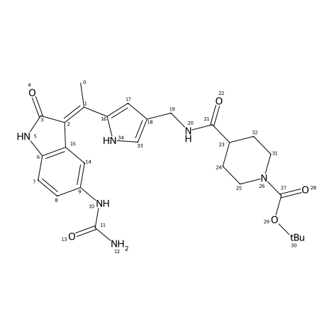 C/C(=C1\C(=O)Nc2ccc(NC(N)=O)cc21)c1cc(CNC(=O)C2CCN(C(=O)OC(C)(C)C)CC2)c[nH]1